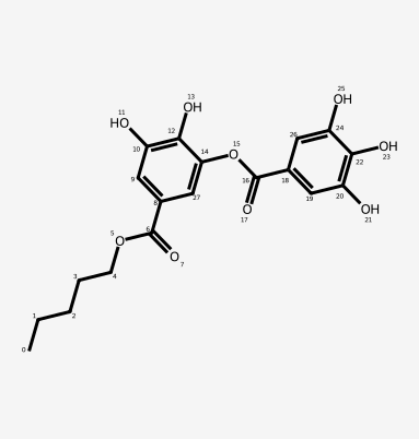 CCCCCOC(=O)c1cc(O)c(O)c(OC(=O)c2cc(O)c(O)c(O)c2)c1